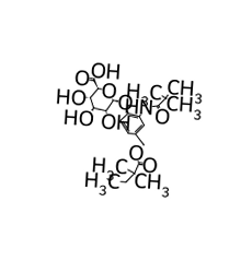 CCC(C)(C)C(=O)OCc1ccc(O[C@@H]2O[C@H](C(=O)O)[C@@H](O)[C@H](O)[C@H]2O)c(NC(=O)C(C)(C)C)c1